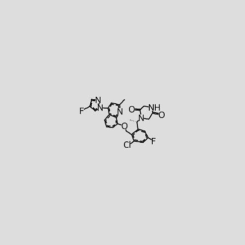 Cc1cc(-n2cc(F)cn2)c2cccc(OCc3c(Cl)cc(F)cc3[C@H](C)N3CC(=O)NCC3=O)c2n1